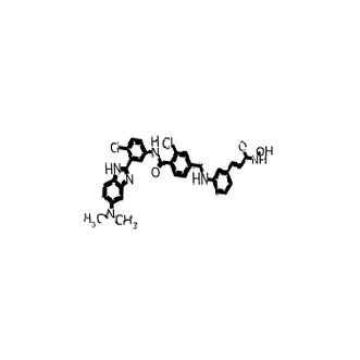 CN(C)c1ccc2[nH]c(-c3cc(NC(=O)c4ccc(CNc5cccc(/C=C/C(=O)NO)c5)cc4Cl)ccc3Cl)nc2c1